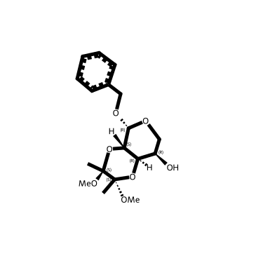 CO[C@@]1(C)O[C@@H]2[C@H](OCc3ccccc3)OC[C@@H](O)[C@H]2O[C@]1(C)OC